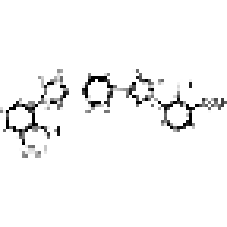 O=C(O)c1cccc(-n2cc(-c3ccc(-c4cn(-c5cccc(C(=O)O)c5O)nn4)nn3)nn2)c1O